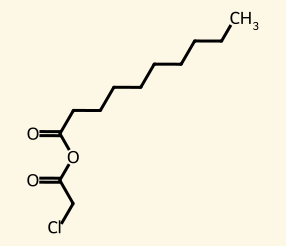 CCCCCCCCCC(=O)OC(=O)CCl